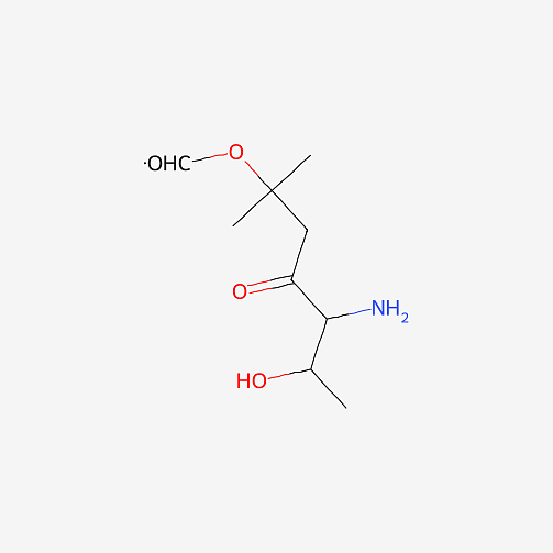 CC(O)C(N)C(=O)CC(C)(C)O[C]=O